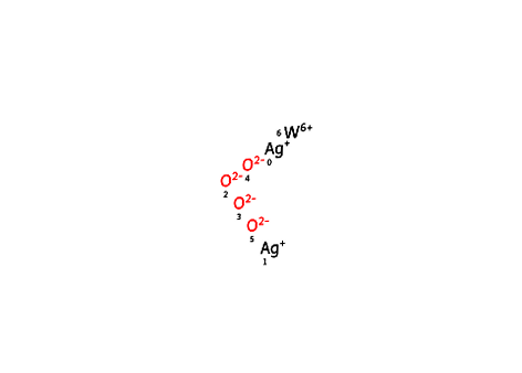 [Ag+].[Ag+].[O-2].[O-2].[O-2].[O-2].[W+6]